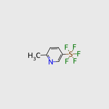 Cc1ccc(S(F)(F)(F)(F)F)cn1